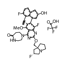 C#Cc1c(F)ccc2cc(O)cc(-c3c(F)c(OC)c4c(N5CCNC(=O)CC5)nc(OC[C@@]56CCCN5C[C@H](F)C6)nc4c3F)c12.O=C(O)C(F)(F)F